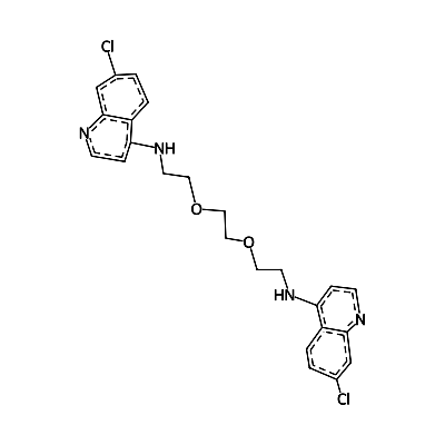 Clc1ccc2c(NCCOCCOCCNc3ccnc4cc(Cl)ccc34)ccnc2c1